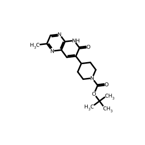 Cc1cnc2[nH]c(=O)c(C3CCN(C(=O)OC(C)(C)C)CC3)cc2n1